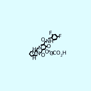 O=C(O)OCOc1c2n(cc(C(=O)NCc3ccc(F)cc3F)c1=O)C[C@@H]1N(C[C@H]3CCCN31)C2=O